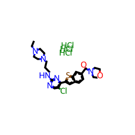 CCN1CCN(CCCNc2ncc(Cl)c(-c3cc4ccc(C(=O)N5CCOCC5)cc4s3)n2)CC1.Cl.Cl.Cl